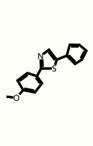 COc1ccc(-c2ncc(-c3ccccc3)s2)cc1